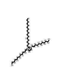 CCCCCCCCCCCCCCCCc1n(CCCCCCCCCCCC)cc[n+]1CCCCCCCCCCC